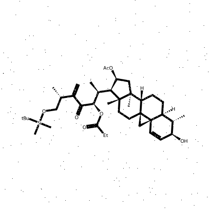 C=C(C(=O)[C@H](OC(=O)CC)[C@@H](C)[C@H]1[C@@H](OC(C)=O)C[C@@]2(C)[C@@H]3CC[C@H]4[C@H](C)[C@@H](O)C=C[C@@]45C[C@@]35CC[C@]12C)[C@@H](C)CO[Si](C)(C)C(C)(C)C